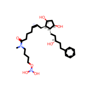 CN(CCCCON(O)O)C(=O)CCC/C=C\C[C@@H]1[C@@H](CC[C@@H](O)CCc2ccccc2)[C@H](O)C[C@@H]1O